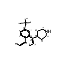 C/C=C\c1ccc(C(C)(C)C)cc1/C(=C\C)C1CCNCC1